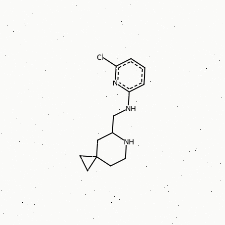 Clc1cccc(NCC2CC3(CCN2)CC3)n1